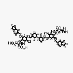 Cc1c(COc2cc(OCc3cnc4ccsc4c3)c(CNC(CCO)C(=O)O)cc2Cl)cccc1-c1cccc(COc2cc(OCc3cnc4ccsc4c3)c(CNC(CCO)C(=O)O)cc2Cl)c1C